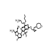 CCCCN(CCN)c1nc(OCC2(CN3CCCOCC3)CC2)nc2c(C(F)(F)F)c(C3=CC=C(F)C4SC(N)=C(C#N)C34)ncc12